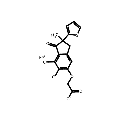 CC1(c2cccs2)Cc2cc(OCC(=O)[O-])c(Cl)c(Cl)c2C1=O.[Na+]